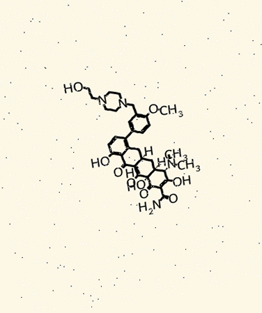 COc1ccc(-c2ccc(O)c3c2C[C@H]2C[C@H]4[C@H](N(C)C)C(O)=C(C(N)=O)C(=O)[C@@]4(O)C(O)=C2C3=O)cc1CN1CCN(CCO)CC1